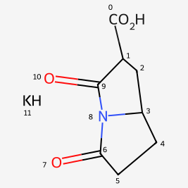 O=C(O)C1CC2CCC(=O)N2C1=O.[KH]